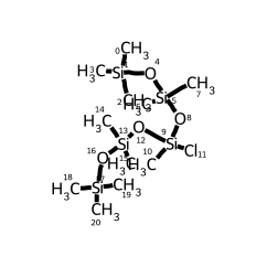 C[Si](C)(C)O[Si](C)(C)O[Si](C)(Cl)O[Si](C)(C)O[Si](C)(C)C